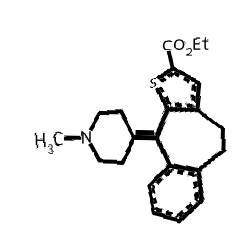 CCOC(=O)c1cc2c(s1)C(=C1CCN(C)CC1)c1ccccc1CC2